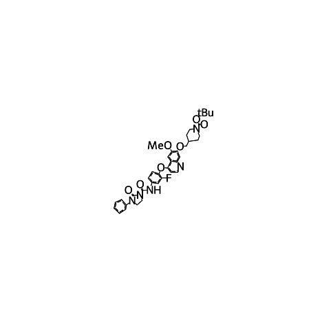 COc1cc2c(Oc3ccc(NC(=O)N4CCN(c5ccccc5)C4=O)cc3F)ccnc2cc1OCC1CCN(C(=O)OC(C)(C)C)CC1